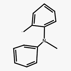 [CH2]c1ccccc1N(C)c1ccccc1